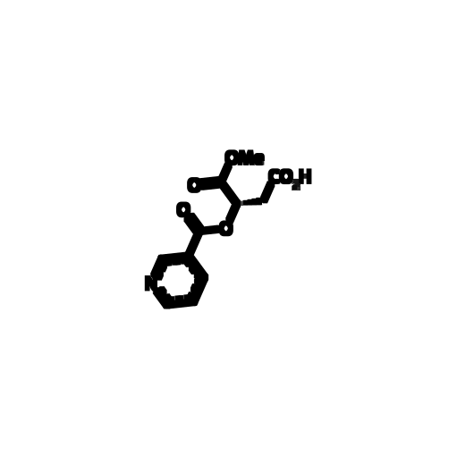 COC(=O)[C@H](CC(=O)O)OC(=O)c1cccnc1